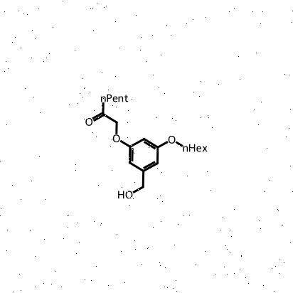 CCCCCCOc1cc(CO)cc(OCC(=O)CCCCC)c1